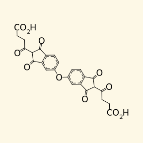 O=C(O)CCC(=O)C1C(=O)c2ccc(Oc3ccc4c(c3)C(=O)C(C(=O)CCC(=O)O)C4=O)cc2C1=O